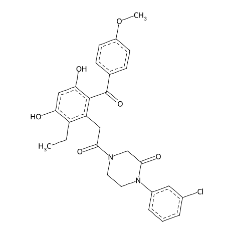 CCc1c(O)cc(O)c(C(=O)c2ccc(OC)cc2)c1CC(=O)N1CCN(c2cccc(Cl)c2)C(=O)C1